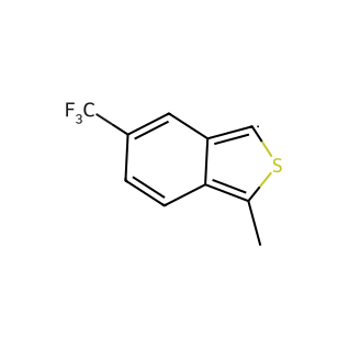 Cc1s[c]c2cc(C(F)(F)F)ccc12